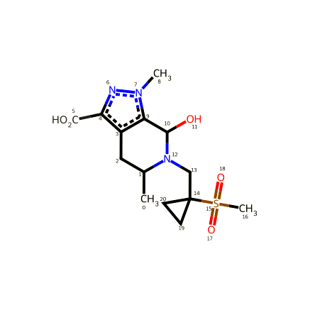 CC1Cc2c(C(=O)O)nn(C)c2C(O)N1CC1(S(C)(=O)=O)CC1